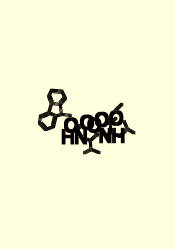 CCOC(=O)[C@@H](CC(C)C)NC(=O)[C@H](NC(=O)OCC1c2ccccc2-c2ccccc21)C(C)C